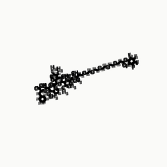 CCC(C)C(C(CC(=O)N1CCC[C@H]1C(OC)C(C)C(=O)NC(Cc1ccccc1)C(=O)O)OC)N(C)C(=O)C(NC(=O)C(C)(C)N(C)C(=O)CCOCCOCCOCCOCCOCCC(=O)Oc1c(F)c(F)c(F)c(F)c1F)C(C)C